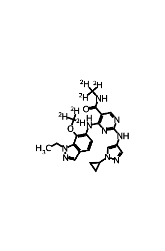 [2H]C([2H])([2H])NC(=O)c1cnc(Nc2cnn(C3CC3)c2)nc1Nc1ccc2cnn(CC)c2c1OC([2H])([2H])[2H]